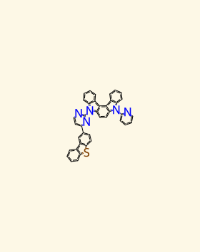 c1ccc(-n2c3ccccc3c3c4c5ccccc5n(-c5nccc(-c6ccc7sc8ccccc8c7c6)n5)c4ccc32)nc1